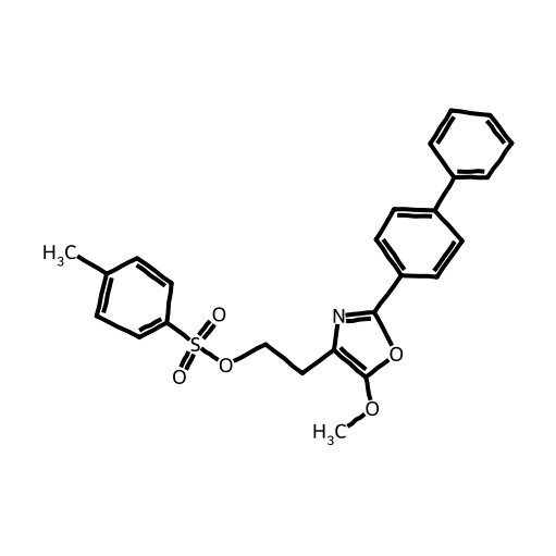 COc1oc(-c2ccc(-c3ccccc3)cc2)nc1CCOS(=O)(=O)c1ccc(C)cc1